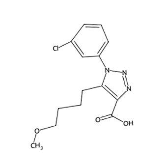 COCCCCc1c(C(=O)O)nnn1-c1cccc(Cl)c1